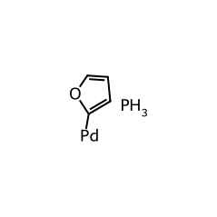 P.[Pd][c]1ccco1